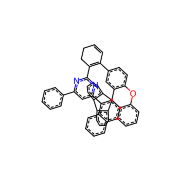 C1=CC(c2ccc3c(c2)C2(c4ccccc4O3)c3ccccc3-c3ccccc32)=C(c2nc(-c3ccccc3)cc(-c3cccc4ccccc34)n2)CC1